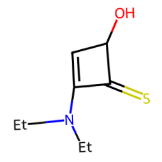 CCN(CC)C1=CC(O)C1=S